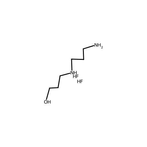 F.F.NCCCNCCCO